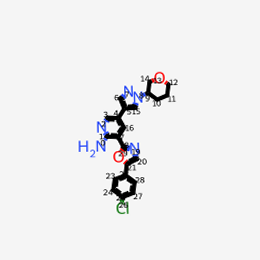 Nc1ncc(-c2cnn(C3CCCOC3)c2)cc1-c1ncc(-c2ccc(Cl)cc2)o1